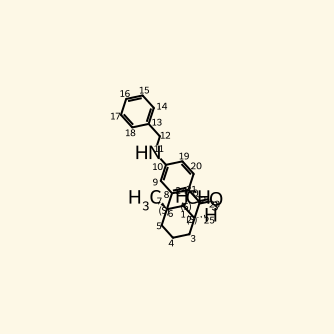 C[C@H]1[C@@H]2CCC[C@]1(C)c1cc(NCc3ccccc3)ccc1C2=O